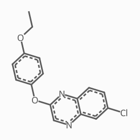 CCOc1ccc(Oc2cnc3cc(Cl)ccc3n2)cc1